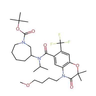 COCCCCN1C(=O)C(C)(C)Oc2cc(C(F)(F)F)c(C(=O)N(C(C)C)C3CCCCN(C(=O)OC(C)(C)C)C3)cc21